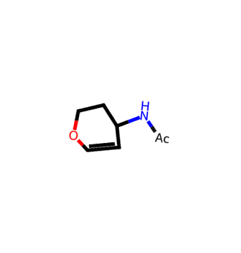 CC(=O)NC1C=COCC1